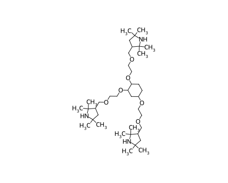 CC1(C)CC(COCCOC2CCC(OCCOCC3CC(C)(C)NC3(C)C)C(OCCOCC3CC(C)(C)NC3(C)C)C2)C(C)(C)N1